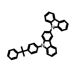 CC(C)(c1ccccc1)c1ccc(-n2c3ccccc3c3cc(-n4c5ccccc5c5ccccc54)ccc32)cc1